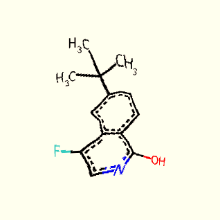 CC(C)(C)c1ccc2c(O)ncc(F)c2c1